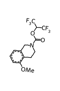 COc1cccc2c1CCN(C(=O)OC(C(F)(F)F)C(F)(F)F)C2